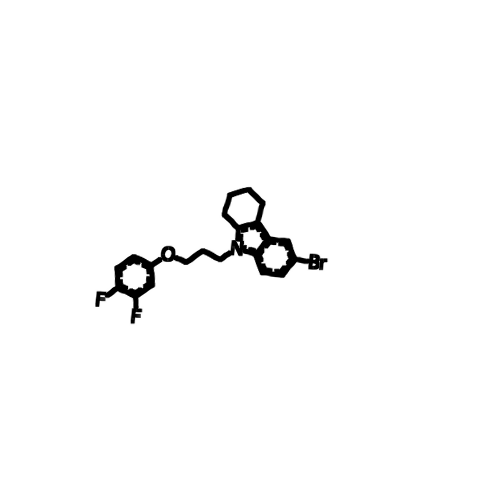 Fc1ccc(OCCCn2c3c(c4cc(Br)ccc42)CCCC3)cc1F